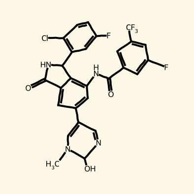 CN1C=C(c2cc(NC(=O)c3cc(F)cc(C(F)(F)F)c3)c3c(c2)C(=O)NC3c2cc(F)ccc2Cl)C=NC1O